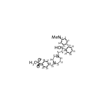 CNc1cccc(C(O)(CCN2CCCN(Cc3ccc(S(C)(=O)=O)cc3)CC2)c2ccccc2)c1